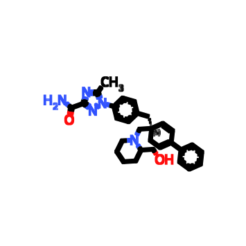 Cc1nc(C(N)=O)nn1-c1ccc(C[C@]2(CN3CCCCC3CO)C=CC(c3ccccc3)=CC2)cc1